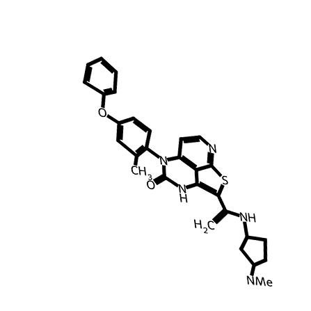 C=C(NC1CCC(NC)C1)c1sc2nccc3c2c1NC(=O)N3c1ccc(Oc2ccccc2)cc1C